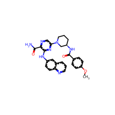 COc1ccc(C(=O)N[C@@H]2CCCN(c3cnc(C(N)=O)c(Nc4ccc5ncccc5c4)n3)C2)cc1